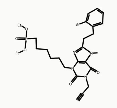 C#CCn1c(=O)c2c(nc(CCc3ccccc3Br)n2C)n(CCCCCCP(=O)(OCC)OCC)c1=O